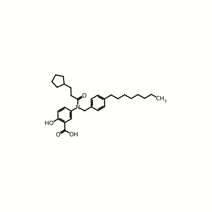 CCCCCCCCc1ccc(CN(C(=O)CCC2CCCC2)c2ccc(O)c(C(=O)O)c2)cc1